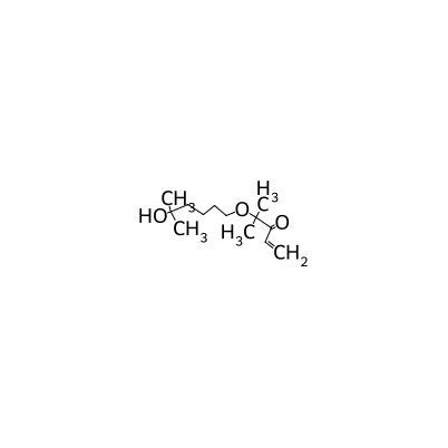 C=CC(=O)C(C)(C)OCCCCC(C)(C)O